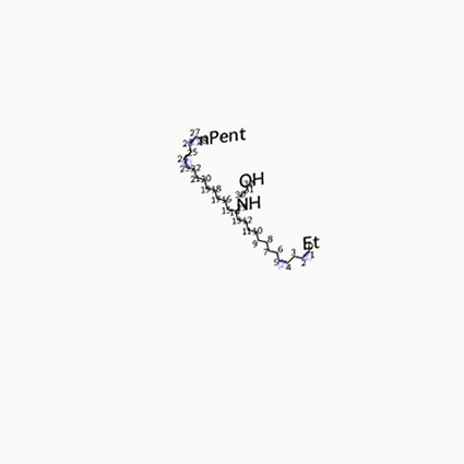 CC/C=C\C/C=C\CCCCCCCCC(CCCCCCCC/C=C\C/C=C\CCCCC)NCCO